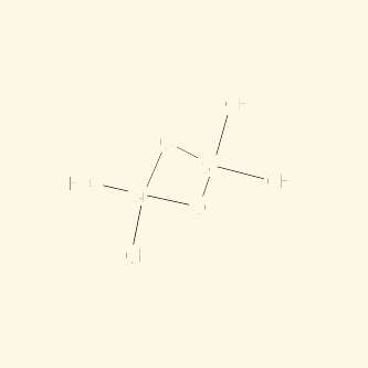 FC(F)(F)[Si]1(C(F)(F)F)O[Si](C(F)(F)F)(C(F)(F)F)O1